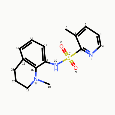 Cc1cccnc1S(=O)(=O)Nc1cccc2c1N(C)CCC2